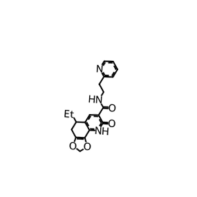 CCC1CC2=C(OCO2)c2[nH]c(=O)c(C(=O)NCCc3ccccn3)cc21